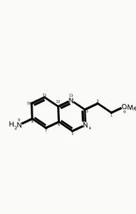 COCCc1ncc2cc(N)ccc2n1